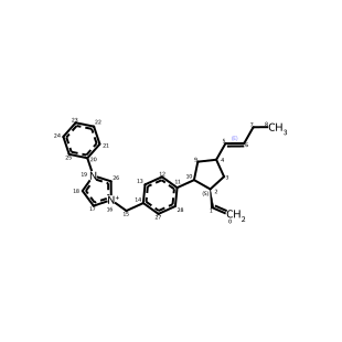 C=C[C@@H]1CC(/C=C/CC)CC1c1ccc(C[n+]2ccn(-c3ccccc3)c2)cc1